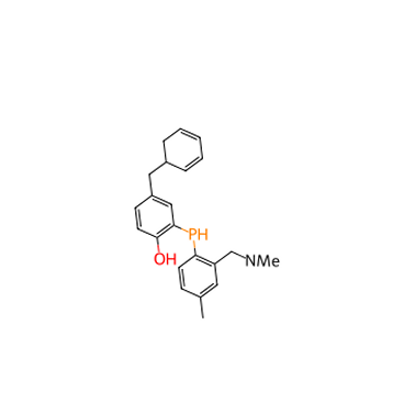 CNCc1cc(C)ccc1Pc1cc(CC2C=CC=CC2)ccc1O